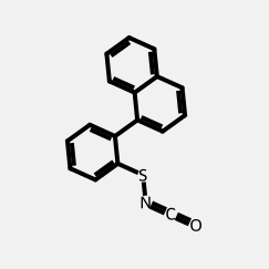 O=C=NSc1ccccc1-c1cccc2ccccc12